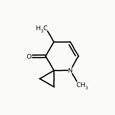 CC1C=CN(C)C2(CC2)C1=O